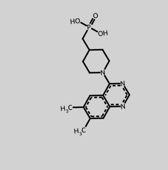 Cc1cc2ncnc(N3CCC(CP(=O)(O)O)CC3)c2cc1C